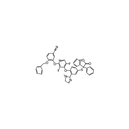 CN1CC=NC1c1cc(SC(C(=O)O)(c2ccccc2)c2ccccc2)ccc1Oc1c(F)cnc(Oc2cc(C#N)ccc2OCc2ccccc2)c1F